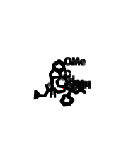 COc1ccc2c3c1O[C@@H]1[C@@]34CCC[C@@]1(OC)[C@@H]([C@](O)(CC(C)O)c1ccccc1)CC[C@@H]1C(CC3CC3)C[C@]1(C2)C4